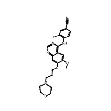 COc1cc2c(Nc3ccc(C#N)cc3F)ncnc2cc1OCCCN1CCOCC1